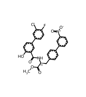 COC(=O)[C@H](Cc1ccc(-c2cccc([N+](=O)[O-])c2)cc1)NC(=O)c1cc(-c2ccc(F)c(Cl)c2)ccc1O